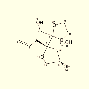 C=CC[C@]1(C2(CO)OCCO2)OC[C@H](O)[C@H]1O